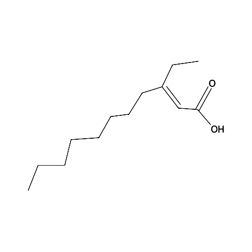 CCCCCCCCC(=CC(=O)O)CC